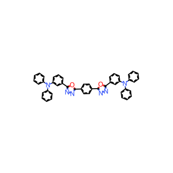 c1ccc(N(c2ccccc2)c2cccc(-c3nnc(-c4ccc(-c5nnc(-c6cccc(N(c7ccccc7)c7ccccc7)c6)o5)cc4)o3)c2)cc1